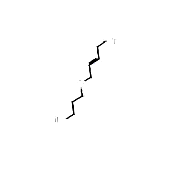 CC(C)C/C=C/COCCCC(C)C